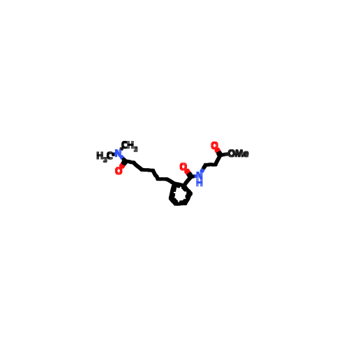 COC(=O)CCNC(=O)c1ccccc1CCCCCC(=O)N(C)C